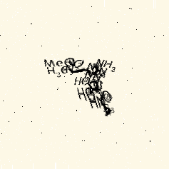 COC(=O)N(C)CC#Cc1nc(N)c2ncn([C@@H]3O[C@H](C(=O)NC4CC4)C(O)C3O)c2n1